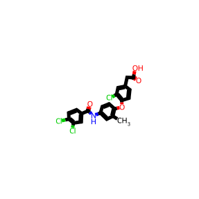 Cc1cc(NC(=O)c2ccc(Cl)c(Cl)c2)ccc1Oc1ccc(CC(=O)O)cc1Cl